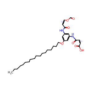 CCCCCCCCCCCCCCCCCCOc1cc(NC(=O)/C=C\OC=O)cc(NC(=O)/C=C\C(=O)O)c1